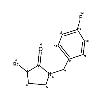 O=C1C(Br)CCN1Cc1ccc(F)cc1